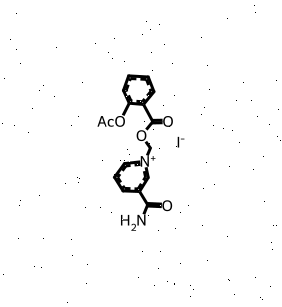 CC(=O)Oc1ccccc1C(=O)OC[n+]1cccc(C(N)=O)c1.[I-]